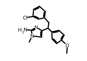 COc1ccc(C(Cc2cccc(Cl)c2)c2cn(C)c(N)n2)cc1